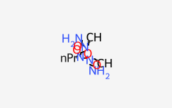 C#CCN(CC(N)=O)C(=O)CN(CCC)C(=O)CN(CC#C)C(=O)CN